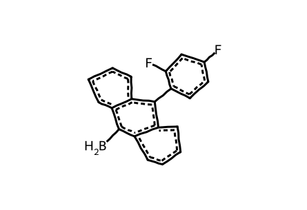 Bc1c2ccccc2c(-c2ccc(F)cc2F)c2ccccc12